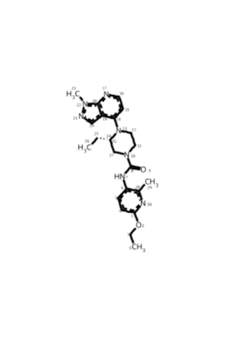 CCOc1ccc(NC(=O)N2CCN(c3ccnc4c3cnn4C)[C@@H](CC)C2)c(C)n1